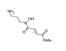 COC(=O)/C=C/C(=O)N(O)CCCN